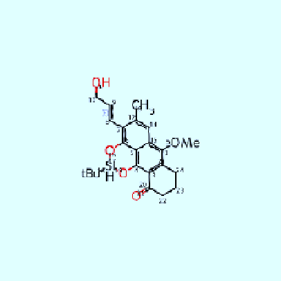 COc1c2c(c3c4c(c(/C=C/CO)c(C)cc14)O[SiH](C(C)(C)C)O3)C(=O)CCC2